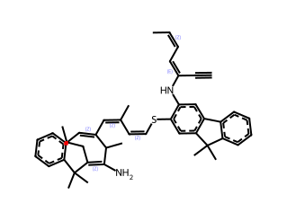 C#C/C(=C\C=C/C)Nc1cc2c(cc1S\C=C/C(C)=C\C1=C\c3ccccc3C(C)(C)/C(CCC)=C(\N)C1C)C(C)(C)c1ccccc1-2